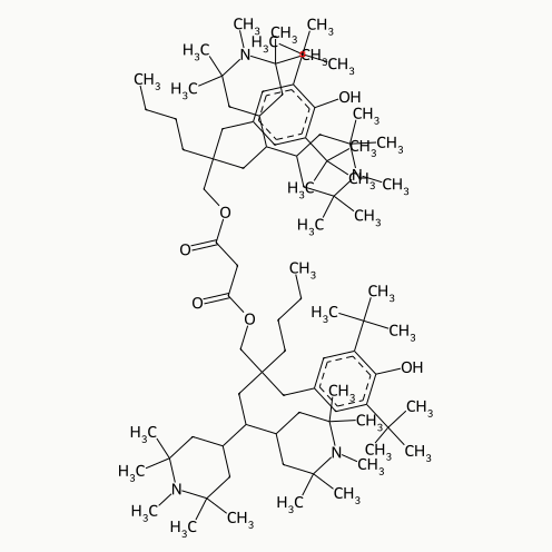 CCCCC(COC(=O)CC(=O)OCC(CCCC)(Cc1cc(C(C)(C)C)c(O)c(C(C)(C)C)c1)CC(C1CC(C)(C)N(C)C(C)(C)C1)C1CC(C)(C)N(C)C(C)(C)C1)(Cc1cc(C(C)(C)C)c(O)c(C(C)(C)C)c1)CC(C1CC(C)(C)N(C)C(C)(C)C1)C1CC(C)(C)N(C)C(C)(C)C1